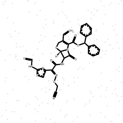 C=CC1=C(C(=O)OC(c2ccccc2)c2ccccc2)N2C(=O)C(NC(=O)C(=NOCC#N)c3csc(NC=O)n3)[C@@H]2SC1